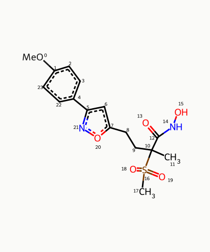 COc1ccc(-c2cc(CCC(C)(C(=O)NO)S(C)(=O)=O)on2)cc1